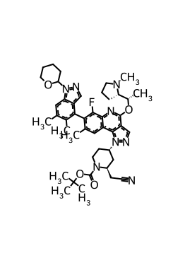 Cc1cc2c(cnn2C2CCCCO2)c(-c2c(C)cc3c(nc(O[C@@H](C)[C@@H]4CCCN4C)c4cnn([C@H]5CCN(C(=O)OC(C)(C)C)[C@H](CC#N)C5)c43)c2F)c1C